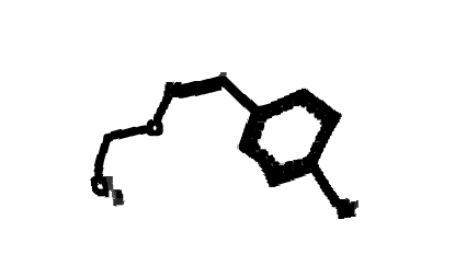 FC(F)(F)CO/N=[C]\c1ccc(Br)cc1